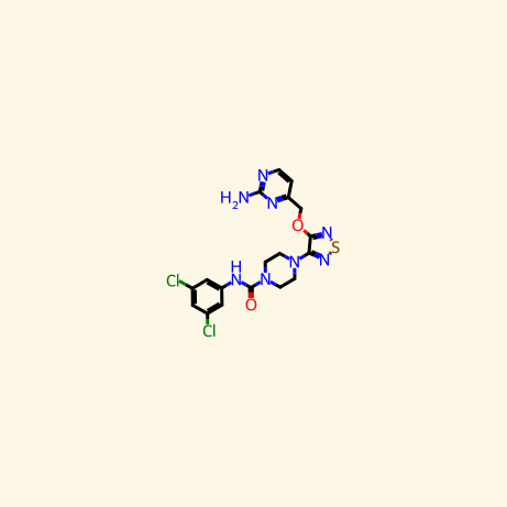 Nc1nccc(COc2nsnc2N2CCN(C(=O)Nc3cc(Cl)cc(Cl)c3)CC2)n1